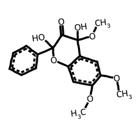 COc1cc2c(cc1OC)C(O)(OC)C(=O)C(O)(c1ccccc1)O2